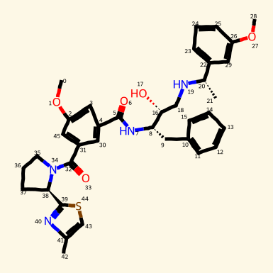 COc1cc(C(=O)N[C@@H](Cc2ccccc2)[C@H](O)CN[C@@H](C)c2cccc(OC)c2)cc(C(=O)N2CCC[C@@H]2c2nc(C)cs2)c1